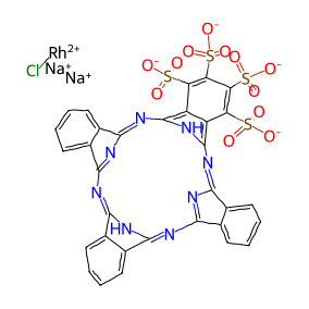 O=S(=O)([O-])c1c(S(=O)(=O)[O-])c(S(=O)(=O)[O-])c2c3nc4nc(nc5[nH]c(nc6nc(nc([nH]3)c2c1S(=O)(=O)[O-])-c1ccccc1-6)c1ccccc51)-c1ccccc1-4.[Cl][Rh+2].[Na+].[Na+]